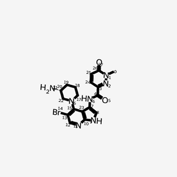 Cn1nc(C(=O)Nc2c[nH]c3ncc(Br)c(N4CCC[C@@H](N)C4)c23)ccc1=O